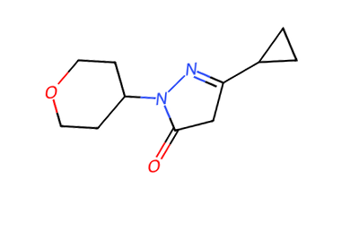 O=C1CC(C2CC2)=NN1C1CCOCC1